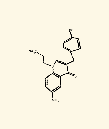 Cc1ccc2c(c1)c(=O)c(Cc1ccc(Br)cc1)cn2CCC(=O)O